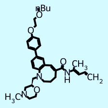 C=C/C=C(\C)NC(=O)/C1=C/c2cc(-c3ccc(OCCOCCCC)cc3)ccc2N(C[C@@H]2CN(C)CCO2)CCC1